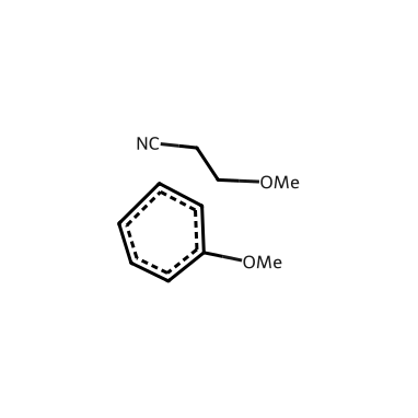 COCCC#N.COc1ccccc1